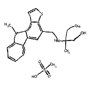 CS(=O)(=O)O.Cn1c2ccccc2c2cc(CNC(C)(CO)CO)c3sccc3c21